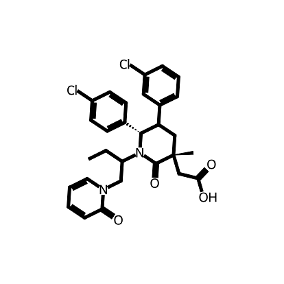 CCC(Cn1ccccc1=O)N1C(=O)[C@@](C)(CC(=O)O)CC(c2cccc(Cl)c2)[C@H]1c1ccc(Cl)cc1